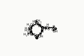 CNC(=O)C[C@@H]1NC(=O)c2csc(n2)-c2ccc(-c3nc(NC(=O)CCCCC(=O)N4CCC[C@H]4C(=O)O)cs3)nc2-c2csc(n2)-c2csc(n2)[C@H]([C@@H](O)c2ccccc2)NC(=O)CNC(=O)c2nc(sc2COC)[C@H](C(C)C)NC(=O)c2nc1sc2C